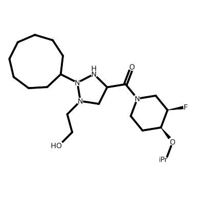 CC(C)O[C@H]1CCN(C(=O)C2CN(CCO)N(C3CCCCCCCC3)N2)C[C@H]1F